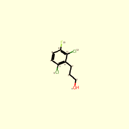 OCCCc1c(Cl)ccc(F)c1Cl